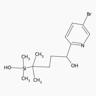 CC(C)(CCC(O)c1ccc(Br)cn1)[Si](C)(C)O